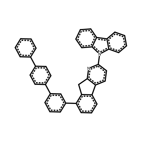 c1ccc(-c2ccc(-c3cccc(-c4cccc5c4Cc4nc(-n6c7ccccc7c7ccccc76)ccc4-5)c3)cc2)cc1